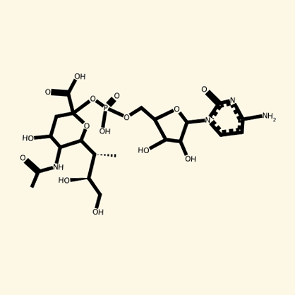 CC(=O)NC1C(O)CC(OP(=O)(O)OCC2OC(n3ccc(N)nc3=O)C(O)C2O)(C(=O)O)OC1[C@H](C)[C@H](O)CO